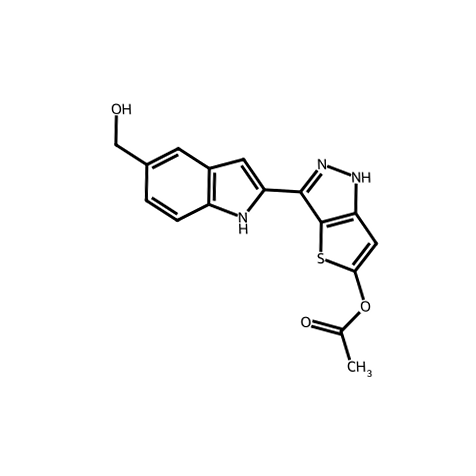 CC(=O)Oc1cc2[nH]nc(-c3cc4cc(CO)ccc4[nH]3)c2s1